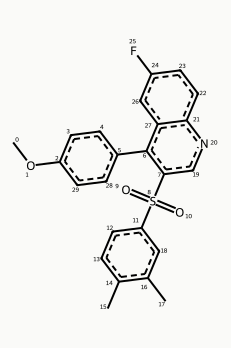 COc1ccc(-c2c(S(=O)(=O)c3ccc(C)c(C)c3)cnc3ccc(F)cc23)cc1